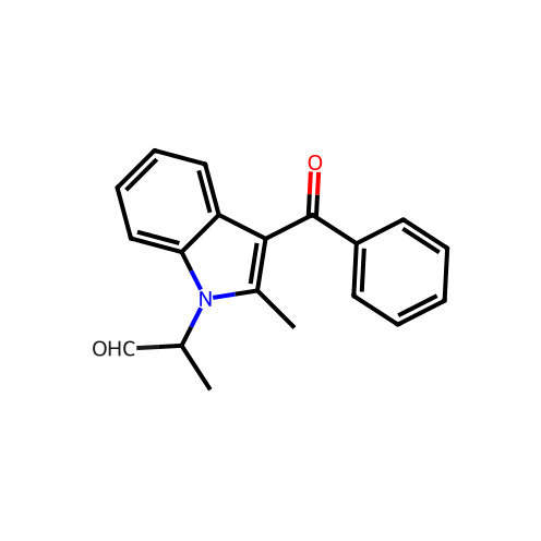 Cc1c(C(=O)c2ccccc2)c2ccccc2n1C(C)C=O